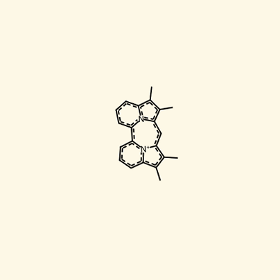 Cc1c2cc3c(C)c(C)c4cccc(c5cccc(c1C)[n+]5-2)n43